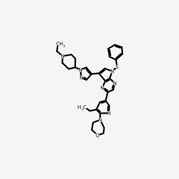 CCc1cc(-c2cnc3c(n2)c(-c2cnn(C4CCN(CC)CC4)c2)cn3Sc2ccccc2)cnc1N1CCOCC1